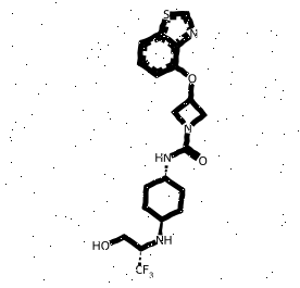 O=C(N[C@H]1CC[C@H](N[C@@H](CO)C(F)(F)F)CC1)N1CC(Oc2cccc3scnc23)C1